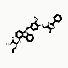 CCC[C@@H](Oc1cccc2c1c1ccccc1n2Cc1ccc(OCc2nc(-c3ccccc3)oc2C)c(OC)c1)C(=O)O